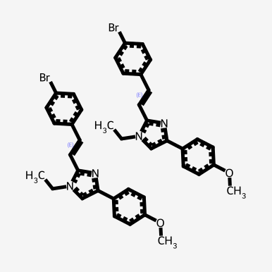 CCn1cc(-c2ccc(OC)cc2)nc1/C=C/c1ccc(Br)cc1.CCn1cc(-c2ccc(OC)cc2)nc1/C=C/c1ccc(Br)cc1